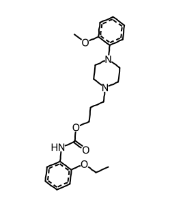 CCOc1ccccc1NC(=O)OCCCN1CCN(c2ccccc2OC)CC1